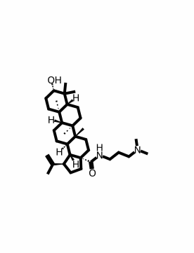 C=C(C)[C@@H]1CC[C@]2(C(=O)NCCCN(C)C)CC[C@]3(C)[C@H](CC[C@@H]4[C@@]5(C)CC[C@H](O)C(C)(C)[C@@H]5CC[C@]43C)[C@@H]12